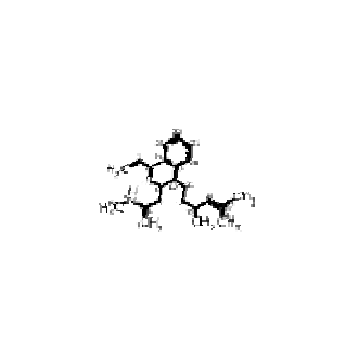 C=CC1=NC(CC(=C)NC)C(CCC(=C)C=C(C)C)c2ccccc21